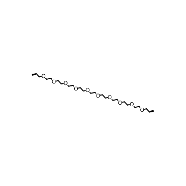 C=CCOCCOCCOCCOCCOCCOCCOCCOCCOCCOCC=C